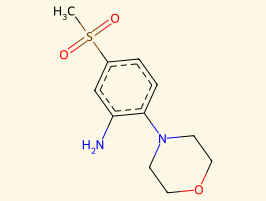 CS(=O)(=O)c1ccc(N2CCOCC2)c(N)c1